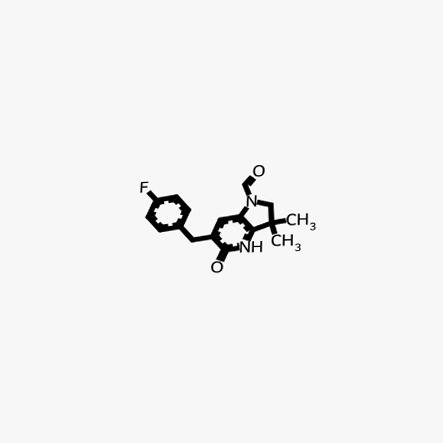 CC1(C)CN(C=O)c2cc(Cc3ccc(F)cc3)c(=O)[nH]c21